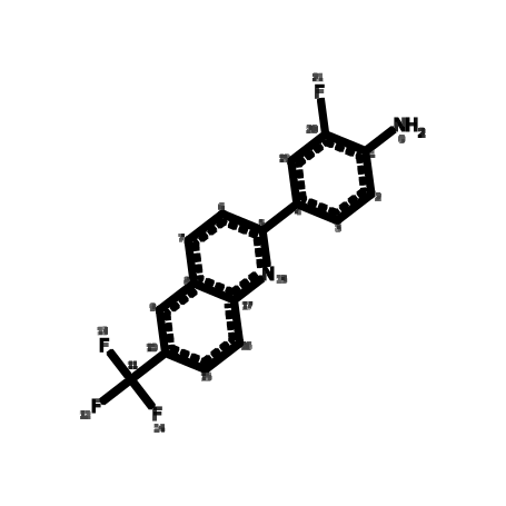 Nc1ccc(-c2ccc3cc(C(F)(F)F)ccc3n2)cc1F